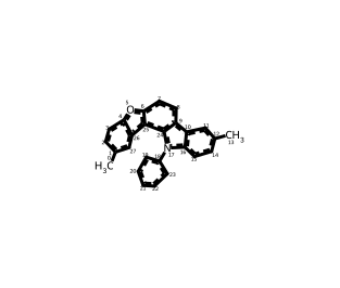 Cc1ccc2oc3ccc4c5cc(C)ccc5n(-c5ccccc5)c4c3c2c1